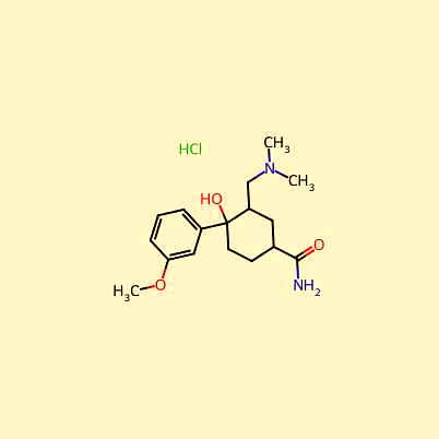 COc1cccc(C2(O)CCC(C(N)=O)CC2CN(C)C)c1.Cl